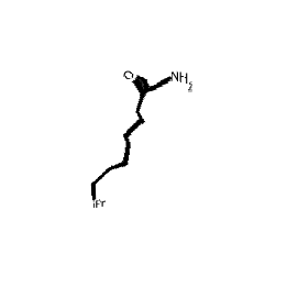 CC(C)CCCCC(N)=O